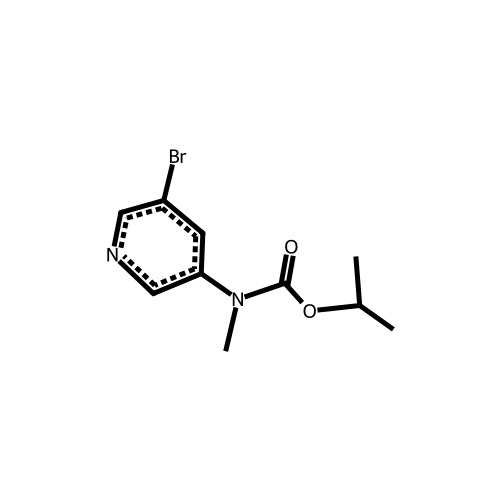 CC(C)OC(=O)N(C)c1cncc(Br)c1